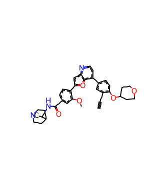 C#Cc1cc(-c2ccnc3cc(-c4ccc(C(=O)NC5CN6CCC5CC6)cc4OC)oc23)ccc1OC1CCOCC1